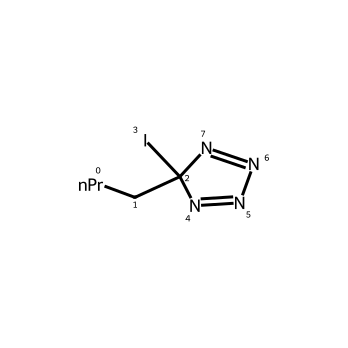 CCCCC1(I)N=NN=N1